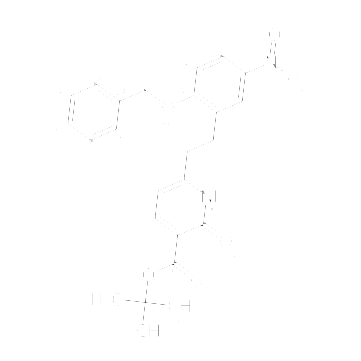 CC(C)(C)OC(=O)c1ccc(CCc2cc([N+](=O)[O-])ccc2OCc2ccccc2)[nH]c1=O